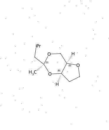 CC(C)C[C@@]1(C)OC[C@H]2OCC[C@H]2O1